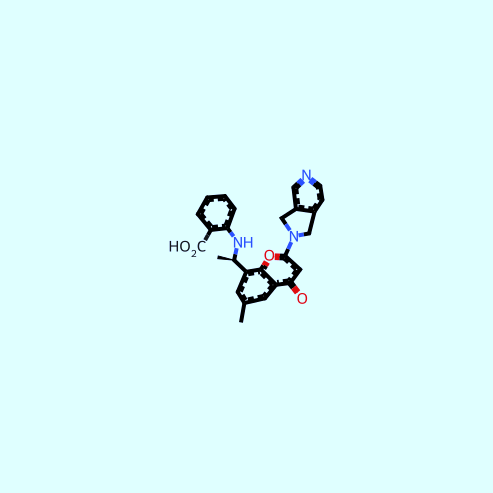 Cc1cc([C@@H](C)Nc2ccccc2C(=O)O)c2oc(N3Cc4ccncc4C3)cc(=O)c2c1